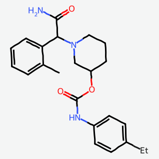 CCc1ccc(NC(=O)OC2CCCN(C(C(N)=O)c3ccccc3C)C2)cc1